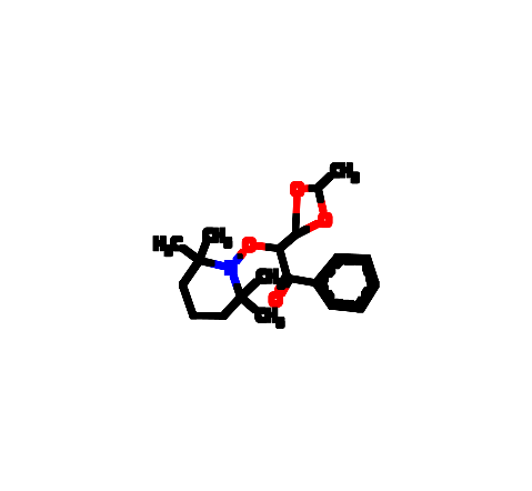 CC1OC(C(ON2C(C)(C)CCCC2(C)C)C(=O)c2ccccc2)O1